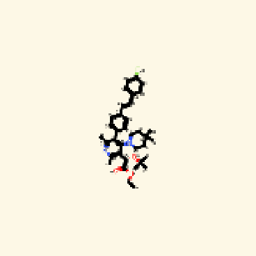 CCOC(=O)[C@@H](OC(C)(C)C)c1c(C)nc(C)c(-c2ccc(C=Cc3ccc(F)cc3)cc2)c1N1CCC(C)(C)CC1